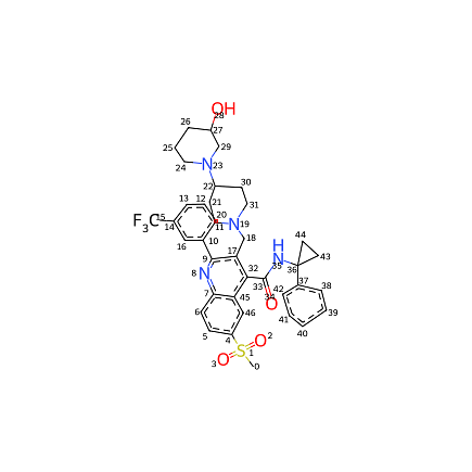 CS(=O)(=O)c1ccc2nc(-c3cccc(C(F)(F)F)c3)c(CN3CCC(N4CCCC(O)C4)CC3)c(C(=O)NC3(c4ccccc4)CC3)c2c1